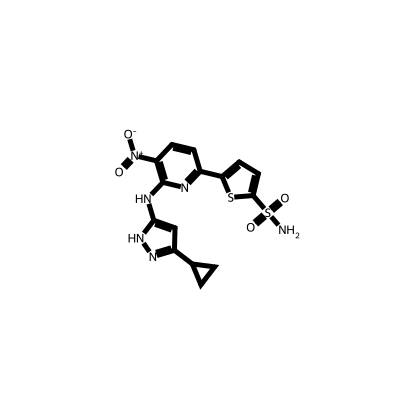 NS(=O)(=O)c1ccc(-c2ccc([N+](=O)[O-])c(Nc3cc(C4CC4)n[nH]3)n2)s1